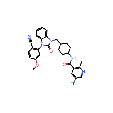 COc1ccc(C#N)c(-n2c(=O)n(CC3CCC(NC(=O)c4cc(Cl)cnc4C)CC3)c3ccccc32)c1